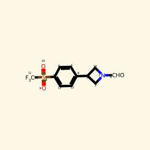 O=CN1CC(c2ccc(S(=O)(=O)C(F)(F)F)cc2)C1